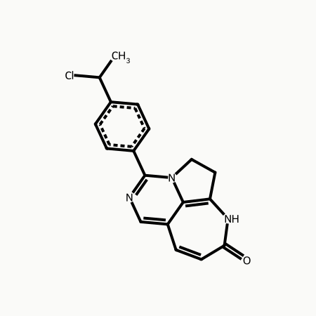 CC(Cl)c1ccc(C2=NC=C3C=CC(=O)NC4=C3N2CC4)cc1